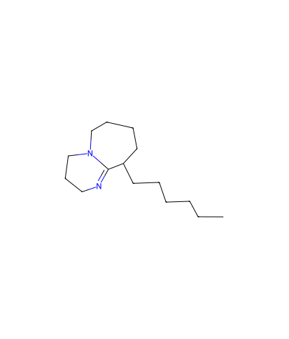 CCCCCCC1CCCCN2CCCN=C12